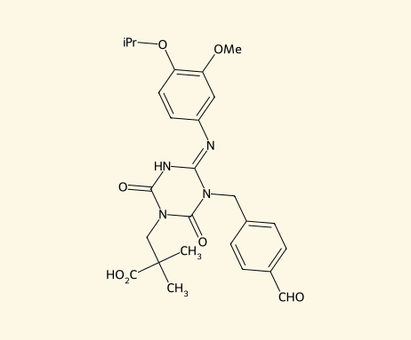 COc1cc(/N=c2\[nH]c(=O)n(CC(C)(C)C(=O)O)c(=O)n2Cc2ccc(C=O)cc2)ccc1OC(C)C